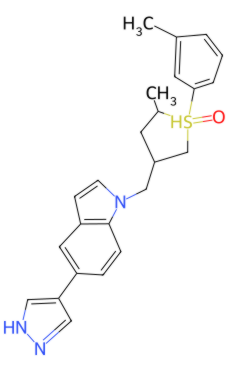 Cc1cccc([SH]2(=O)CC(Cn3ccc4cc(-c5cn[nH]c5)ccc43)CC2C)c1